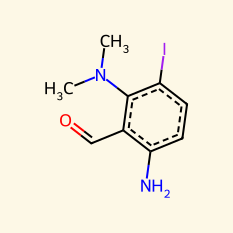 CN(C)c1c(I)ccc(N)c1C=O